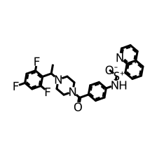 CC(c1c(F)cc(F)cc1F)N1CCN(C(=O)c2ccc(N[S+]([O-])c3cccc4cccnc34)cc2)CC1